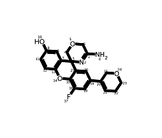 NC1=NC2(COC1)c1cc(O)ccc1Oc1c(F)cc(C3=CCCOC3)cc12